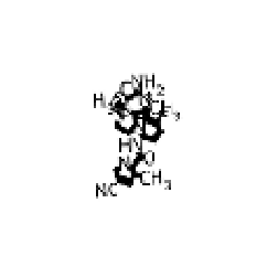 Cc1cc(C#N)cnc1C(=O)Nc1ccc(F)c([C@@]2(C)N=C(N)C(C)(C)[S@@]3(=O)=NCCC[C@@H]23)n1